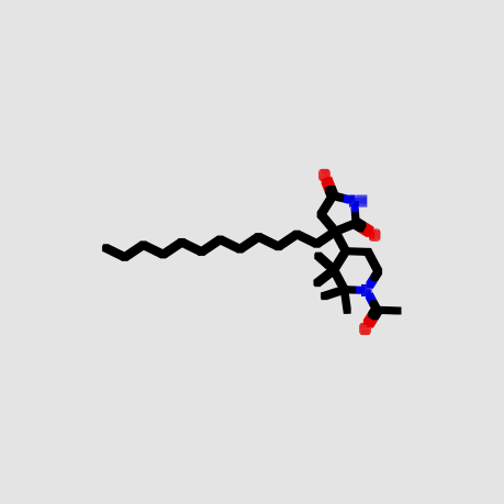 CCCCCCCCCCCCC1(C2CCN(C(C)=O)C(C)(C)C2(C)C)CC(=O)NC1=O